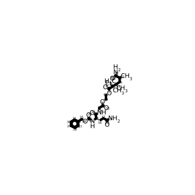 CCC(C)(C(=O)OCCOC(=O)CNC(=O)[C@H](CCC(N)=O)NC(=O)OCc1ccccc1)C(C)(C)CC(C)C(N)=O